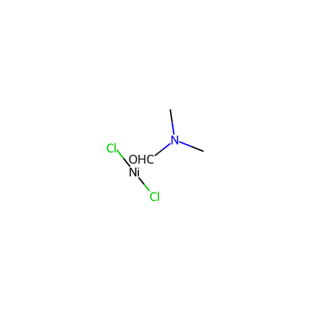 CN(C)C=O.[Cl][Ni][Cl]